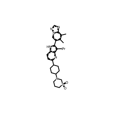 Cc1c(-c2[nH]c3ccc(C4CCC(N5CCCS(=O)(=O)C5)CC4)nc3c2C(C)C)cn2ncnc2c1C